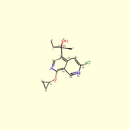 CC[C@](C)(O)c1cnc(OC2CC2)c2cnc(Cl)cc12